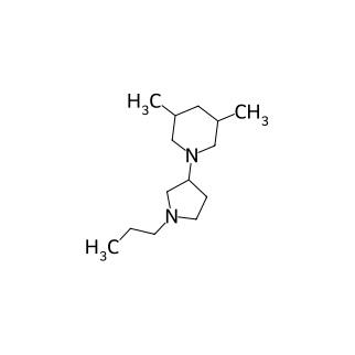 CCCN1CCC(N2CC(C)CC(C)C2)C1